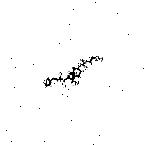 N#Cc1c(NC(=O)C=Cc2ccoc2)sc2c1CCC(OC(=O)NCCO)C2